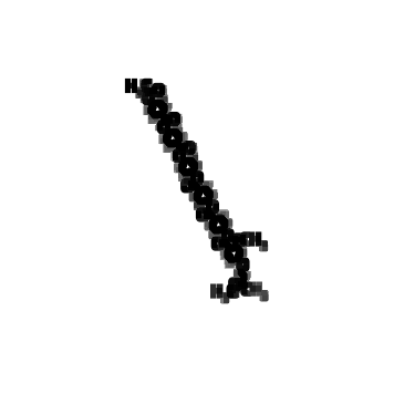 COc1cc(OCCC(C)OC)ccc1C(=O)Oc1ccc(C(=O)Oc2ccc(C(=O)Oc3ccc(OC(=O)c4ccc(OC(=O)c5ccc(OC(C)=O)cc5)cc4)cc3)cc2)cc1